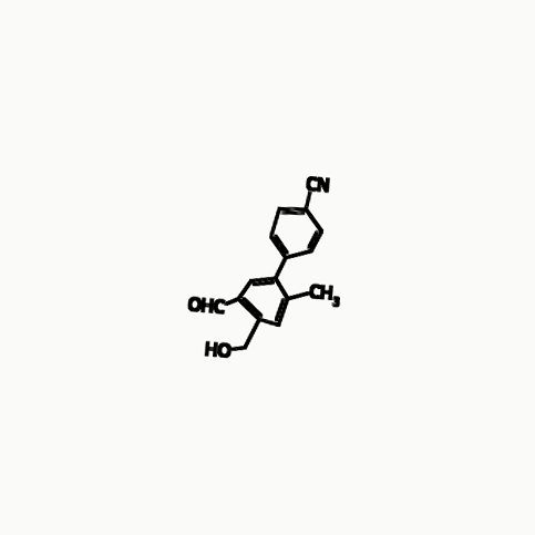 Cc1cc(CO)c(C=O)cc1-c1ccc(C#N)cc1